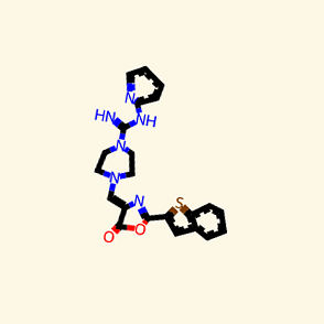 N=C(Nc1ccccn1)N1CCN(C=C2N=C(c3cc4ccccc4s3)OC2=O)CC1